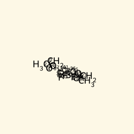 C=C(C)C(=O)OCCCc1ccc2c(sc3c(F)c(OC(=O)C(=C)C)ccc32)c1C(F)(F)F